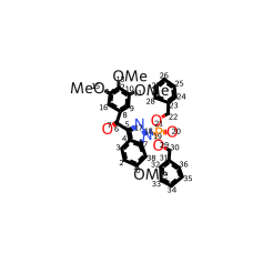 COc1ccc2c(C(=O)c3cc(OC)c(OC)c(OC)c3)nn(P(=O)(OCc3ccccc3)OCc3ccccc3)c2c1